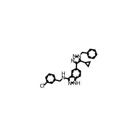 Clc1cccc(CNc2n[nH]c3ccc(-c4nnn(Cc5ccccc5)c4C4CC4)cc23)c1